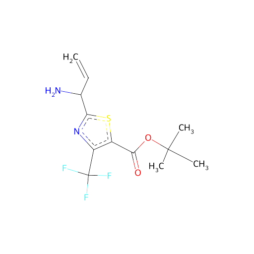 C=CC(N)c1nc(C(F)(F)F)c(C(=O)OC(C)(C)C)s1